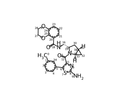 Cc1cccc(-c2sc(N)nc2C(=O)N2[C@H](CNC(=O)c3cccc4c3OCCO4)C[C@@H]3C[C@@H]32)c1